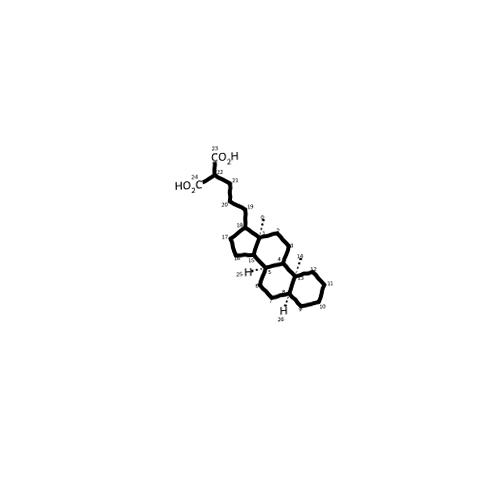 C[C@]12CCC3[C@@H](CC[C@@H]4CCCC[C@]34C)C1CCC2CCCC(C(=O)O)C(=O)O